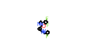 O=C(C1CC(Cn2cc3c(F)cccc3n2)C2CC1C2)N1N=CCC1c1cc(F)cc(F)c1